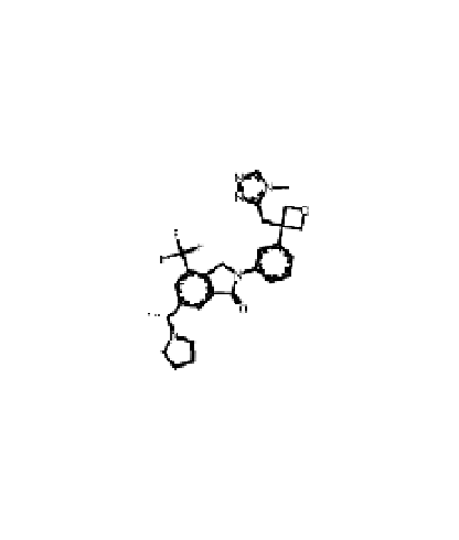 C[C@H](c1cc2c(c(C(F)(F)F)c1)CN(c1cccc(C3(Cc4nncn4C)COC3)c1)C2=O)N1CCCC1